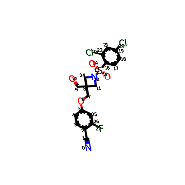 N#Cc1ccc(OCC2(C=O)CN(S(=O)(=O)c3ccc(Cl)cc3Cl)C2)cc1F